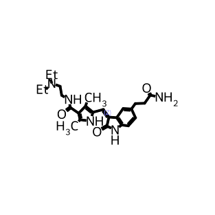 CCN(CC)CCNC(=O)c1c(C)[nH]c(/C=C2\C(=O)Nc3ccc(CCC(N)=O)cc32)c1C